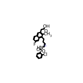 Cc1c(CC(=O)O)cc2ccc(F)cc2c1CC/C=C\NS(=O)(=O)c1ccccc1Cl